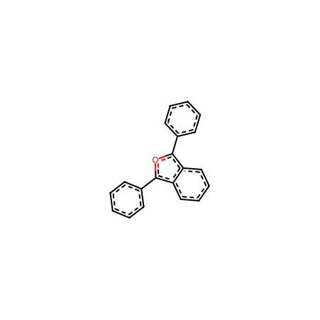 c1ccc(-c2oc(-c3ccccc3)c3ccccc23)cc1